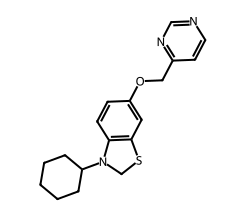 c1cc(COc2ccc3c(c2)SCN3C2CCCCC2)ncn1